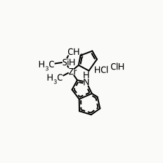 C[SiH](C)[Zr]([CH3])([C]1=CC=CC1)[c]1cc2ccccc2[nH]1.Cl.Cl